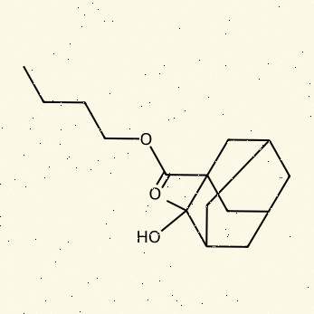 CCCCOC(=O)C12CC3CC(CC(C3)C1(C)O)C2